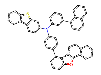 c1cc(-c2cccc3ccccc23)cc(N(c2ccc(-c3cccc4oc5c6ccccc6ccc5c34)cc2)c2ccc3c(c2)sc2ccccc23)c1